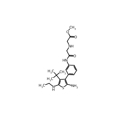 CCNc1sc(N)c(-c2cccc(NC(=O)CNCC(=O)OC)c2)c1C(C)(C)C